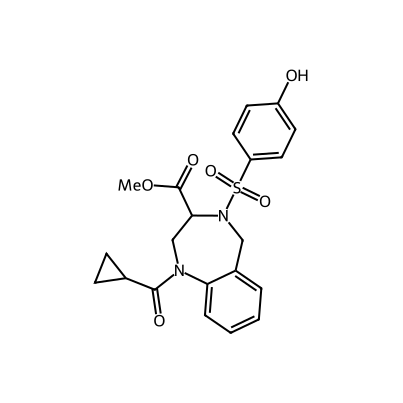 COC(=O)C1CN(C(=O)C2CC2)c2ccccc2CN1S(=O)(=O)c1ccc(O)cc1